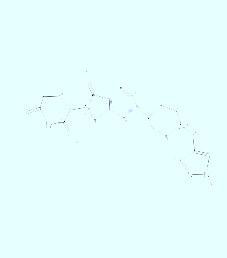 Cn1cc(CN2CCC(c3ccc4c(c3)CN(C3CCC(=O)NC3=O)C4=O)CC2)cn1